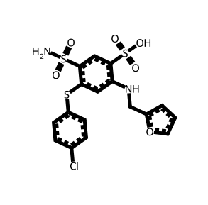 NS(=O)(=O)c1cc(S(=O)(=O)O)c(NCc2ccco2)cc1Sc1ccc(Cl)cc1